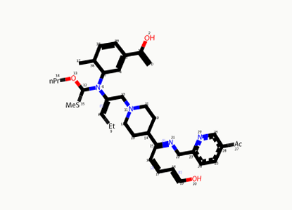 C=C(O)C1=CC(N(/C(=C/CC)CN2CCC(C(/C=C\C=C\O)=N/Cc3ccc(C(C)=O)cn3)CC2)C(OCCC)SC)C(C)C=C1